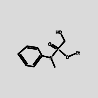 CCOP(=O)(CO)N(C)c1ccccc1